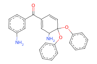 Nc1cccc(C(=O)C2=CC(N)C(Oc3ccccc3)(Oc3ccccc3)C=C2)c1